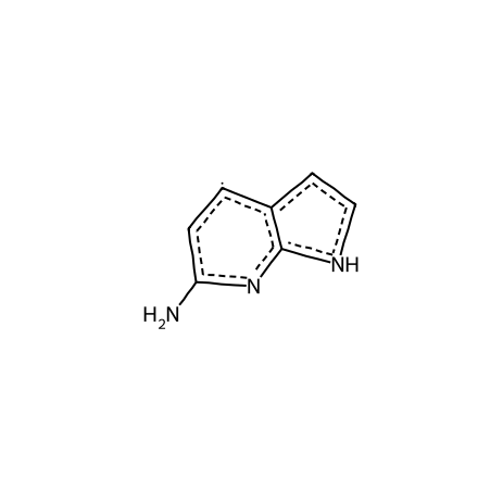 Nc1c[c]c2cc[nH]c2n1